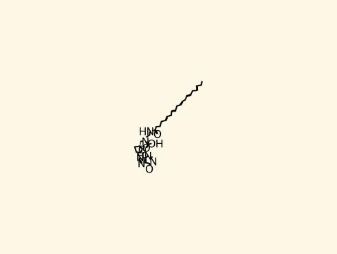 CCC=CCC=CCC=CCC=CCC=CCCCC(=O)NCCN(C[C@@H]1CC[C@H](n2cnc3c(=O)nc[nH]c32)O1)C(=O)O